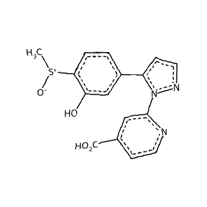 C[S+]([O-])c1ccc(-c2ccnn2-c2cc(C(=O)O)ccn2)cc1O